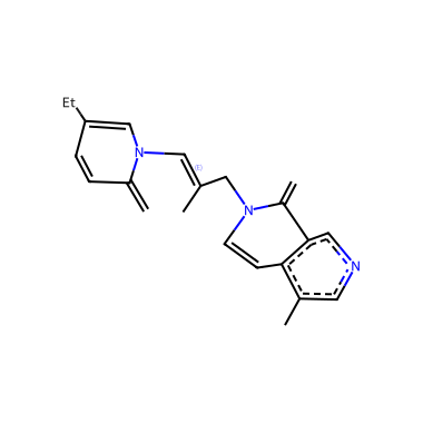 C=C1C=CC(CC)=CN1/C=C(\C)CN1C=Cc2c(C)cncc2C1=C